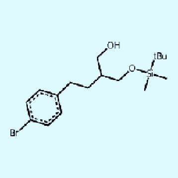 CC(C)(C)[Si](C)(C)OCC(CO)CCc1ccc(Br)cc1